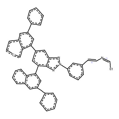 CC/C=N\C=C\c1cccc(-n2nc3cc(-c4cc(-c5ccccc5)cc5ccccc45)cc(-c4cc(-c5ccccc5)cc5ccccc45)c3n2)c1